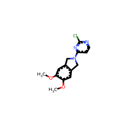 COc1cc2c(cc1OC)CN(c1ccnc(Cl)n1)C2